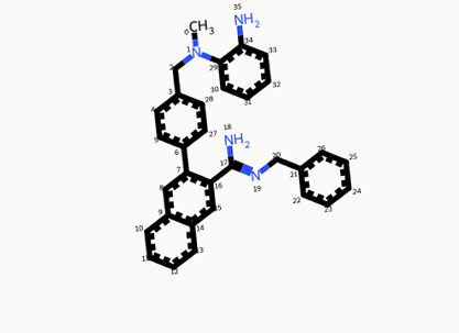 CN(Cc1ccc(-c2cc3ccccc3cc2/C(N)=N/Cc2ccccc2)cc1)c1ccccc1N